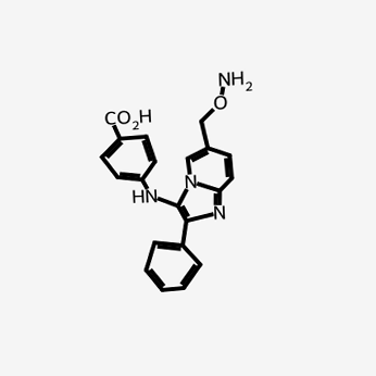 NOCc1ccc2nc(-c3ccccc3)c(Nc3ccc(C(=O)O)cc3)n2c1